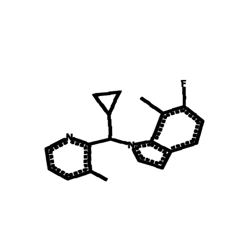 Cc1cccnc1C(C1CC1)n1ccc2ccc(F)c(C)c21